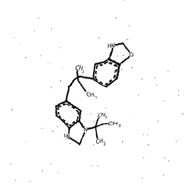 CC(C)(Cc1ccc2c(c1)N(C(C)(C)C)CN2)c1ccc2c(c1)NCO2